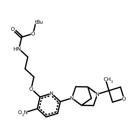 CC(C)(C)OC(=O)NCCCOc1nc(N2CC3CC2CN3C2(C)COC2)ccc1[N+](=O)[O-]